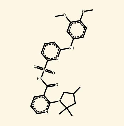 COc1ccc(Nc2cccc(S(=O)(=O)NC(=O)c3cccnc3N3CC(C)CC3(C)C)n2)cc1OC